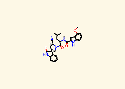 COc1cccc2[nH]c(C(=O)N(C)C(CC(C)C)C(=O)N3C[C@]4(C[C@H]3C#N)C(=O)Nc3ccccc34)cc12